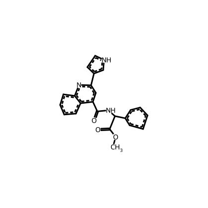 COC(=O)C(NC(=O)c1cc(-c2cc[nH]c2)nc2ccccc12)c1ccccc1